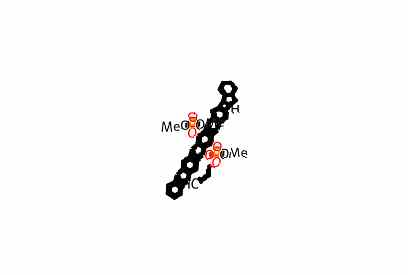 C#CCCOP(=O)(OC)Oc1c2c(c(OP(=O)(OC)OC)c3c1C1CC3c3cc4c(cc31)[C@H]1CC3CCCC=C3C41)C1CC2c2cc3c(cc21)C1CC3c2ccccc21